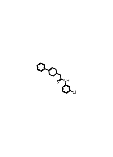 S=C(CC1CC=C(c2ccccc2)CC1)Nc1cccc(Cl)c1